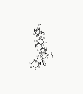 CCc1cc(C(=O)N2CCCCCC2C)nc2cc(-c3ccc(-c4cnc(C)n4C)cc3F)nn12